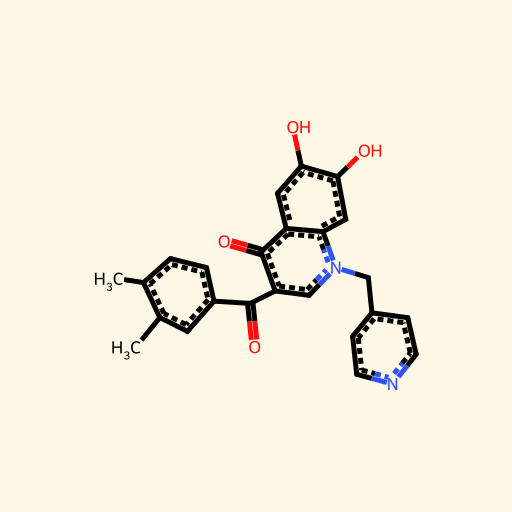 Cc1ccc(C(=O)c2cn(Cc3ccncc3)c3cc(O)c(O)cc3c2=O)cc1C